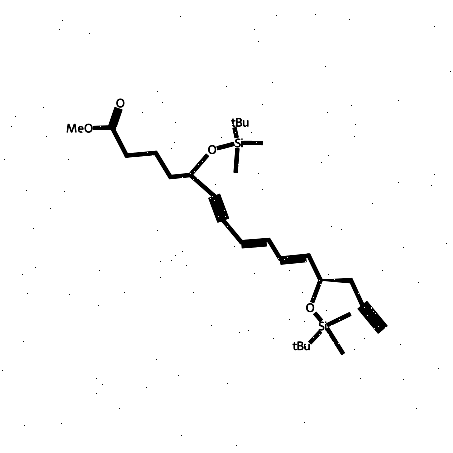 C#CC[C@H](C=CC=CC#CC(CCCC(=O)OC)O[Si](C)(C)C(C)(C)C)O[Si](C)(C)C(C)(C)C